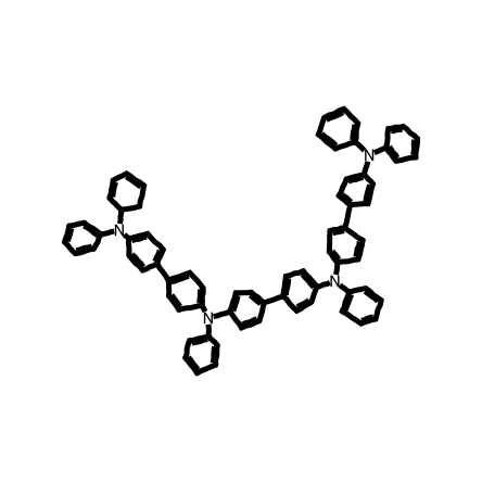 C1=CCC(N(c2ccccc2)c2ccc(-c3ccc(N(c4ccccc4)c4ccc(-c5ccc(N(c6ccccc6)c6ccc(-c7ccc(N(c8ccccc8)c8ccccc8)cc7)cc6)cc5)cc4)cc3)cc2)C=C1